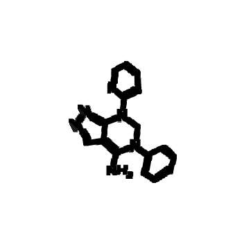 NC1=C2C=NN=C2N(c2ccccn2)CN1c1ccccc1